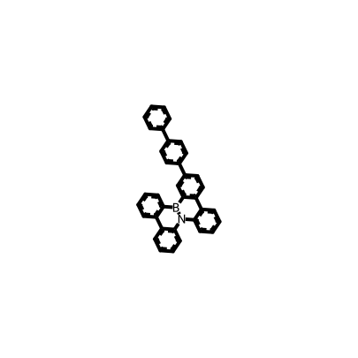 c1ccc(-c2ccc(-c3ccc4c(c3)B3c5ccccc5-c5ccccc5N3c3ccccc3-4)cc2)cc1